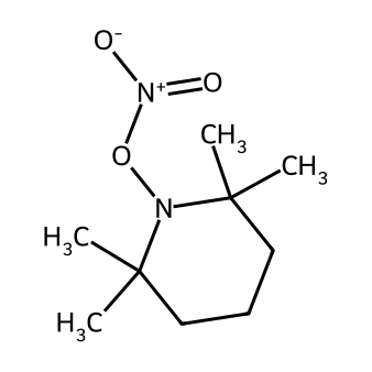 CC1(C)CCCC(C)(C)N1O[N+](=O)[O-]